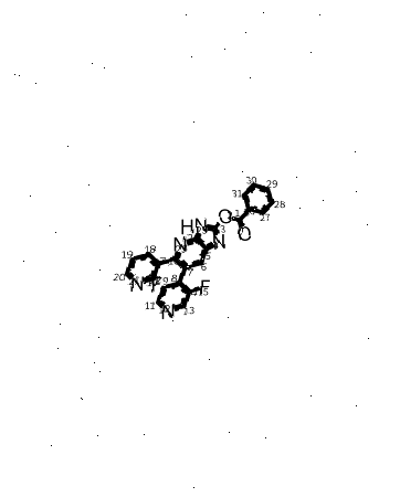 O=C(Oc1nc2cc(-c3c(F)cncc3F)c(-c3cccnc3)nc2[nH]1)c1ccccc1